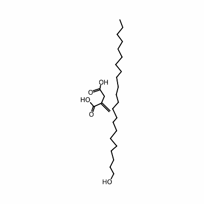 C=C(CC(=O)O)C(=O)O.CCCCCCCCCCCCCCCCCCCCCCO